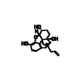 C=CCN1CC[C@@]23c4c5ccc(O)c4O[C@@H]2[C@H](O)CC[C@]3(O)C1C5